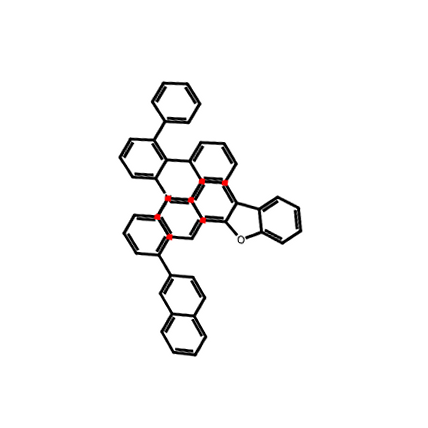 c1ccc(-c2ccccc2-c2c(-c3ccccc3)cccc2N(c2cccc(-c3ccc4ccccc4c3)c2)c2ccc3c(c2)oc2ccccc23)cc1